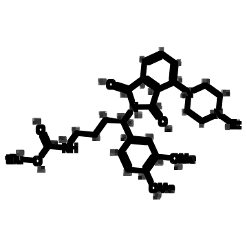 CCN1CCN(c2cccc3c2C(=O)N([C@H](CCCNC(=O)OC(C)(C)C)c2ccc(OC)c(OC)c2)C3=O)CC1